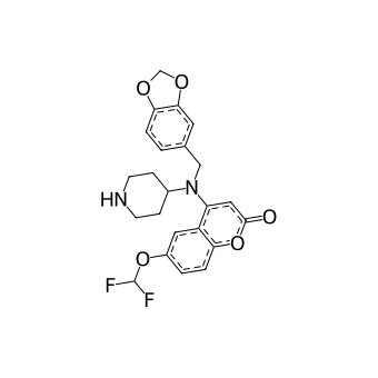 O=c1cc(N(Cc2ccc3c(c2)OCO3)C2CCNCC2)c2cc(OC(F)F)ccc2o1